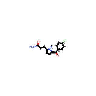 Cn1c(CCC(N)=O)ccc1C(=O)c1ccc(Cl)cc1